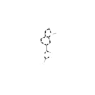 Cn1ccc2ccc(-c3nnc(N)s3)cc21